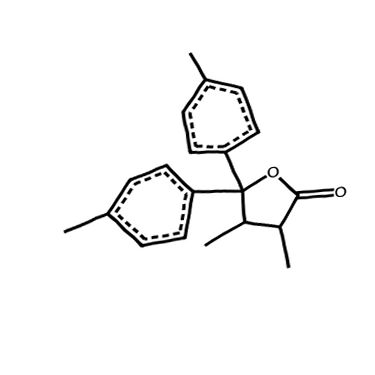 Cc1ccc(C2(c3ccc(C)cc3)OC(=O)C(C)C2C)cc1